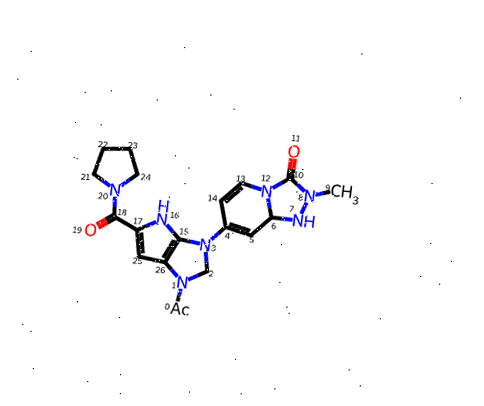 CC(=O)N1CN(C2=CC3NN(C)C(=O)N3C=C2)c2[nH]c(C(=O)N3CCCC3)cc21